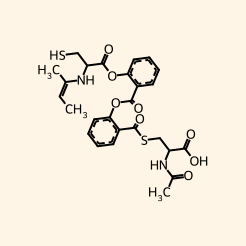 C/C=C(/C)NC(CS)C(=O)Oc1ccccc1C(=O)Oc1ccccc1C(=O)SCC(NC(C)=O)C(=O)O